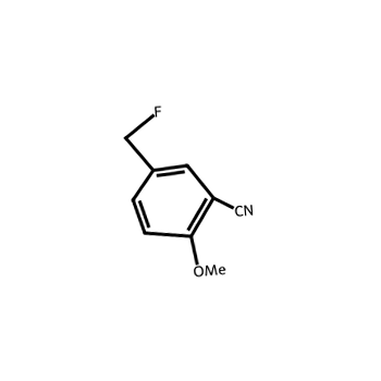 COc1ccc(CF)cc1C#N